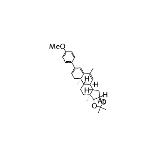 COc1ccc(C2=CC[C@@]3(C)C(=C2)C(C)=C[C@@H]2[C@@H]3CC[C@@]3(C)[C@H]2C[C@@H]2OC(C)(C)O[C@]23C(C)=O)cc1